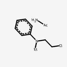 CC(N)=O.CCN(CCCl)c1ccccc1